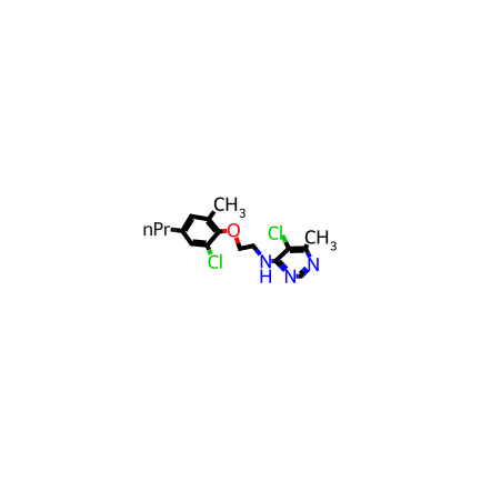 CCCc1cc(C)c(OCCNc2ncnc(C)c2Cl)c(Cl)c1